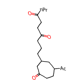 CCCC(=O)CCC(=O)CCCC1CC(=O)CCC(C(C)=O)C1